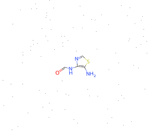 Nc1scnc1NC=O